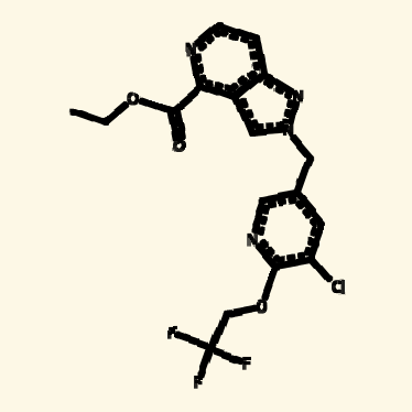 CCOC(=O)c1nccc2nn(Cc3cnc(OCC(F)(F)F)c(Cl)c3)cc12